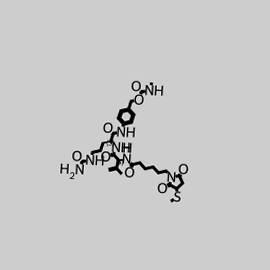 C=C(C)[C@H](NC(=O)CCCCCN1C(=O)CC(SC)C1=O)C(=O)N[C@@H](CCCNC(N)=O)C(=O)Nc1ccc(COC(=O)NC)cc1